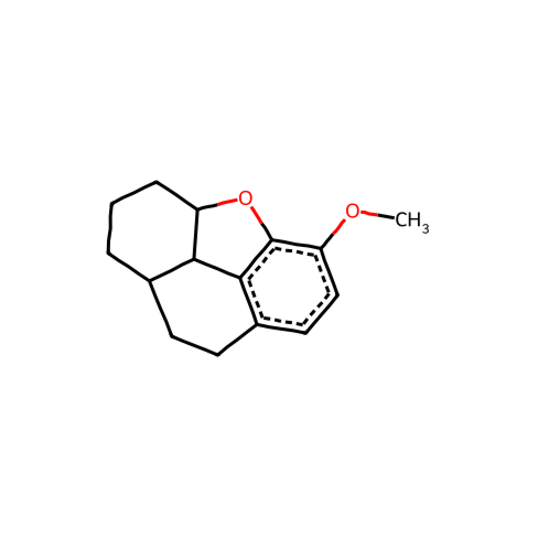 COc1ccc2c3c1OC1CCCC(CC2)C31